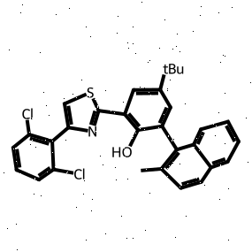 Cc1ccc2ccccc2c1-c1cc(C(C)(C)C)cc(-c2nc(-c3c(Cl)cccc3Cl)cs2)c1O